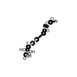 CC1(C)C(Oc2ccc(C#N)c(Cl)c2)C(C)(C)C1N1Cc2cc(C#CC3CCN(C4CCN(c5cc6c(cc5F)C(O)N(C5CCC(=O)NC5=O)C6O)CC4)CC3)ccc2C1=O